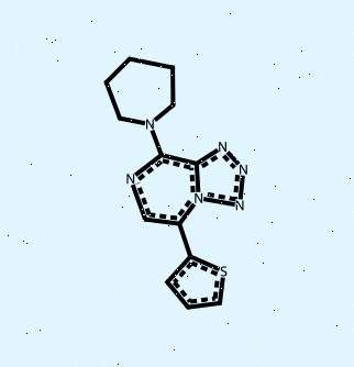 c1csc(-c2cnc(N3CCCCC3)c3nnnn23)c1